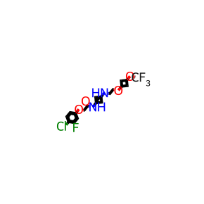 O=C(COc1ccc(Cl)c(F)c1)NC12CC(NCCOC3CC(OC(F)(F)F)C3)(C1)C2